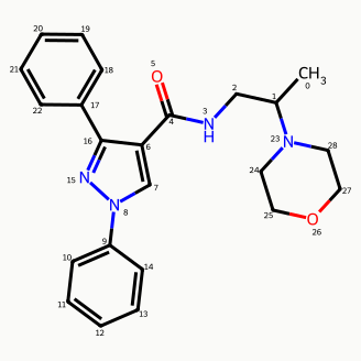 CC(CNC(=O)c1cn(-c2ccccc2)nc1-c1ccccc1)N1CCOCC1